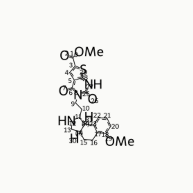 COC(=O)c1cc2c(=O)n(CCC3NC[C@@H]4CCc5c(OC)cccc5[C@H]34)c(=O)[nH]c2s1